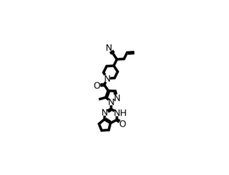 C=CCC(C#N)C1CCN(C(=O)c2cnn(-c3nc4c(c(=O)[nH]3)CCC4)c2C)CC1